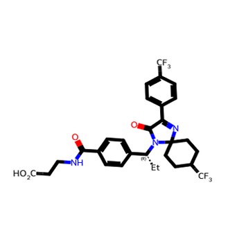 CC[C@H](c1ccc(C(=O)NCCC(=O)O)cc1)N1C(=O)C(c2ccc(C(F)(F)F)cc2)=NC12CCC(C(F)(F)F)CC2